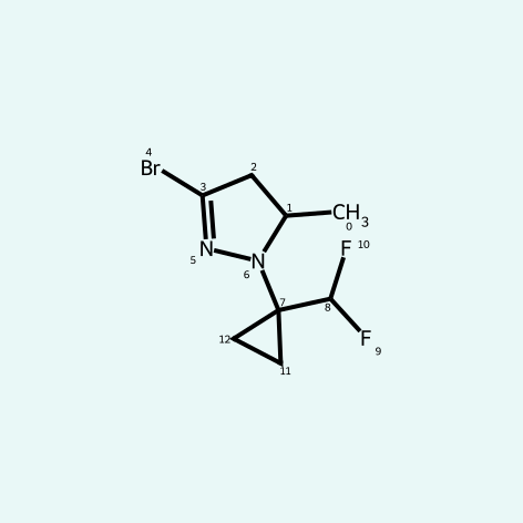 CC1CC(Br)=NN1C1(C(F)F)CC1